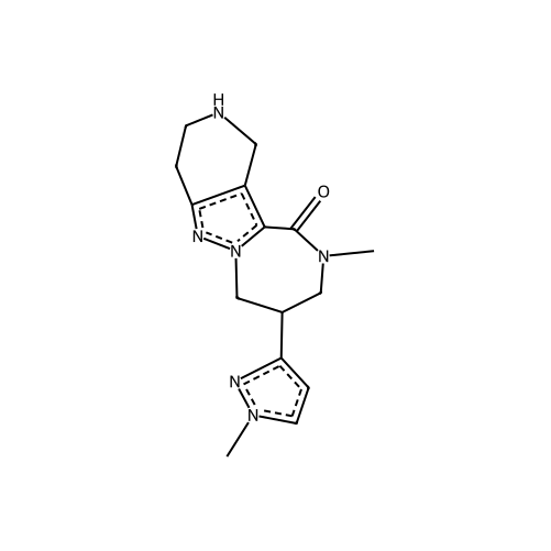 CN1CC(c2ccn(C)n2)Cn2nc3c(c2C1=O)CNCC3